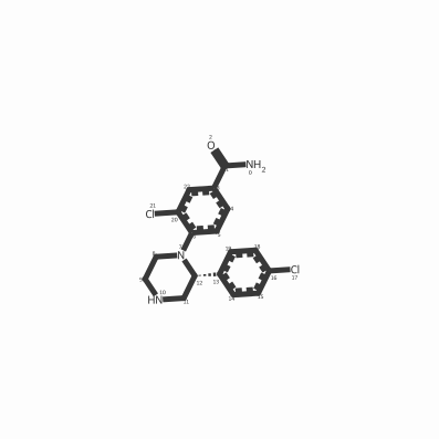 NC(=O)c1ccc(N2CCNC[C@H]2c2ccc(Cl)cc2)c(Cl)c1